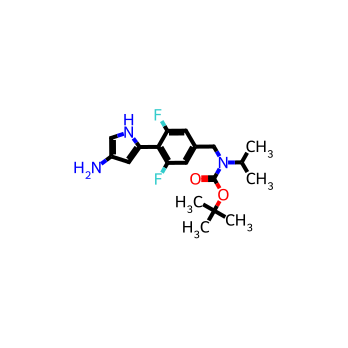 CC(C)N(Cc1cc(F)c(-c2cc(N)c[nH]2)c(F)c1)C(=O)OC(C)(C)C